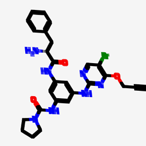 C#CCOc1nc(Nc2cc(NC(=O)[C@H](N)Cc3ccccc3)cc(NC(=O)N3CCCC3)c2)ncc1Br